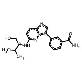 CC(C)[C@@H](CO)Nc1ccc2ncc(-c3cccc(C(N)=O)c3)n2n1